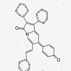 O=C1C=CC(=C2C=C3C(c4ccccc4)=C(c4ccccc4)C(=O)N3C=C2C=Cc2ccncc2)C=C1